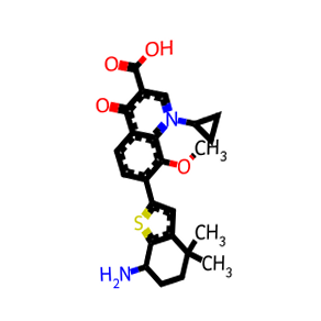 COc1c(-c2cc3c(s2)C(N)CCC3(C)C)ccc2c(=O)c(C(=O)O)cn(C3CC3)c12